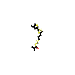 C=C(C)C(=O)SCSCCCC1CSC(c2cc(C)cs2)S1